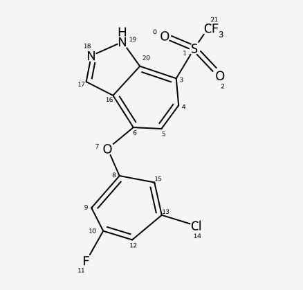 O=S(=O)(c1ccc(Oc2cc(F)cc(Cl)c2)c2cn[nH]c12)C(F)(F)F